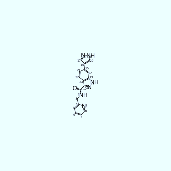 O=C(NCc1ccccn1)c1n[nH]c2cc(-c3cn[nH]c3)ccc12